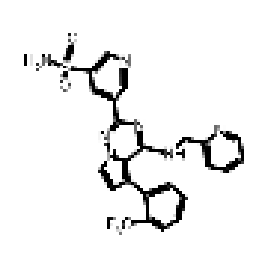 NS(=O)(=O)c1cncc(-c2nc(NCc3ccccn3)c3c(-c4ccccc4C(F)(F)F)ccn3n2)c1